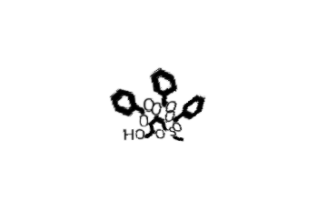 CCS[C@@H]1OC(CO)[C@H](OC(=O)c2ccccc2)C(OC(=O)c2ccccc2)C1OC(=O)c1ccccc1